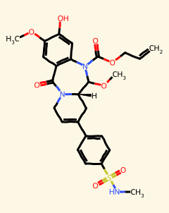 C=CCOC(=O)N1c2cc(O)c(OC)cc2C(=O)N2CC=C(c3ccc(S(=O)(=O)NC)cc3)C[C@H]2C1OC